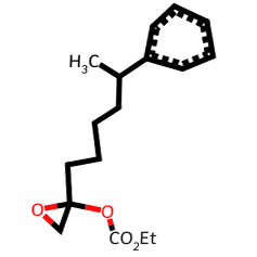 CCOC(=O)OC1(CCCCC(C)c2ccccc2)CO1